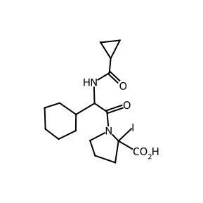 O=C(NC(C(=O)N1CCCC1(I)C(=O)O)C1CCCCC1)C1CC1